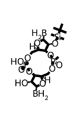 B[C@@H]1O[C@@H]2COP(C)(=O)OC3[C@@H](COP(=O)(O)OC2[C@@H]1O)O[C@@H](B)[C@H]3O[Si](C)(C)C(C)(C)C